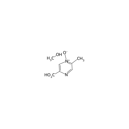 CO.Cc1cnc(C(=O)O)c[n+]1[O-]